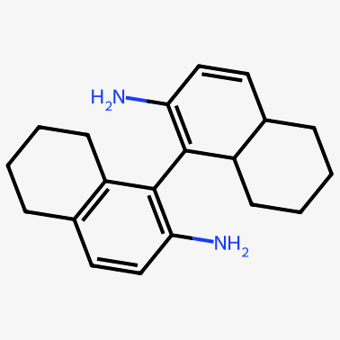 NC1=C(c2c(N)ccc3c2CCCC3)C2CCCCC2C=C1